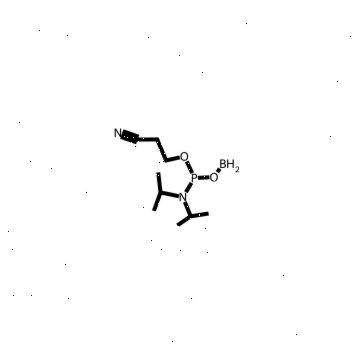 BOP(OCCC#N)N(C(C)C)C(C)C